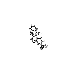 CC(c1ccccc1)N1C(=O)COc2cc([N+](=O)[O-])ccc21